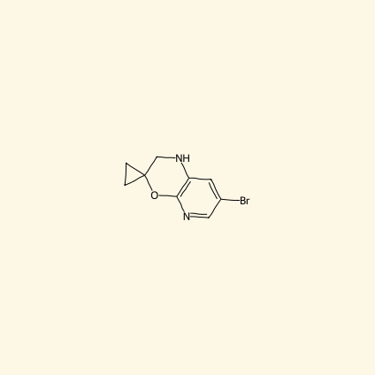 Brc1cnc2c(c1)NCC1(CC1)O2